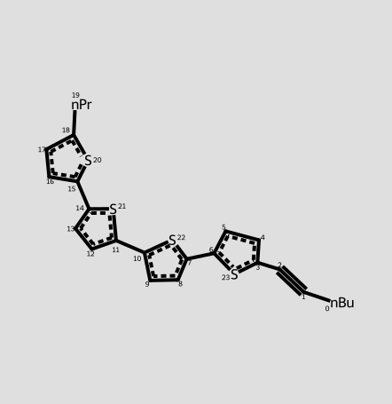 CCCCC#Cc1ccc(-c2ccc(-c3ccc(-c4ccc(CCC)s4)s3)s2)s1